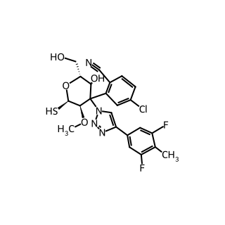 CO[C@H]1[C@@H](S)O[C@H](CO)[C@H](O)C1(c1cc(Cl)ccc1C#N)n1cc(-c2cc(F)c(C)c(F)c2)nn1